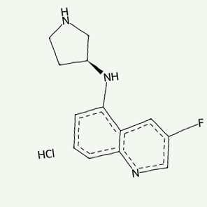 Cl.Fc1cnc2cccc(N[C@H]3CCNC3)c2c1